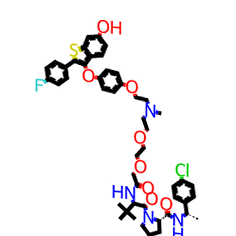 C[C@H](NC(=O)[C@@H]1CCCN1C(=O)C(NC(=O)COCCOCCN(C)CCOc1ccc(Oc2c(-c3ccc(F)cc3)sc3cc(O)ccc23)cc1)C(C)(C)C)c1ccc(Cl)cc1